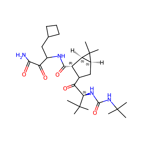 CC(C)(C)NC(=O)N[C@H](C(=O)C1C[C@H]2[C@@H]([C@H]1C(=O)NC(CC1CCC1)C(=O)C(N)=O)C2(C)C)C(C)(C)C